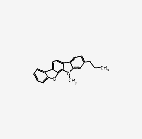 CCCc1ccc2c3ccc4c5ccccc5oc4c3n(C)c2c1